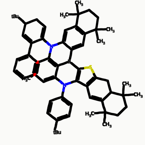 Cc1cc2c3c(c1)N(c1ccc(C(C)(C)C)cc1)c1c(sc4c1C=C1C(C4)C(C)(C)CCC1(C)C)B3c1cc3c(cc1N2C1=CCC(C(C)(C)C)C=C1c1ccccc1)C(C)(C)CCC3(C)C